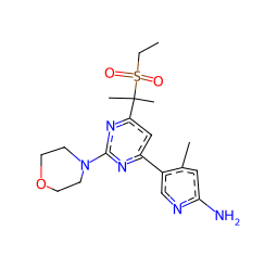 CCS(=O)(=O)C(C)(C)c1cc(-c2cnc(N)cc2C)nc(N2CCOCC2)n1